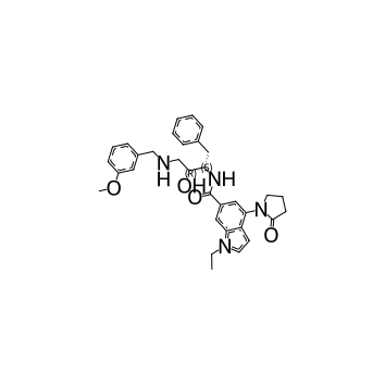 CCn1ccc2c(N3CCCC3=O)cc(C(=O)N[C@@H](Cc3ccccc3)[C@H](O)CNCc3cccc(OC)c3)cc21